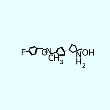 C/C(=N\OCc1ccc(F)cc1)c1ccc([C@@H]2CC[C@](N)(CO)C2)cc1